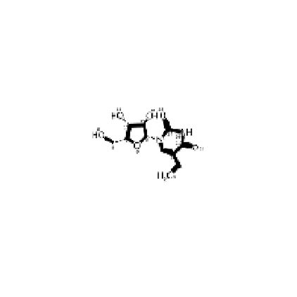 C=Cc1cn([C@@H]2O[C@H](CO)[C@H](O)[C@H]2O)c(=O)[nH]c1=O